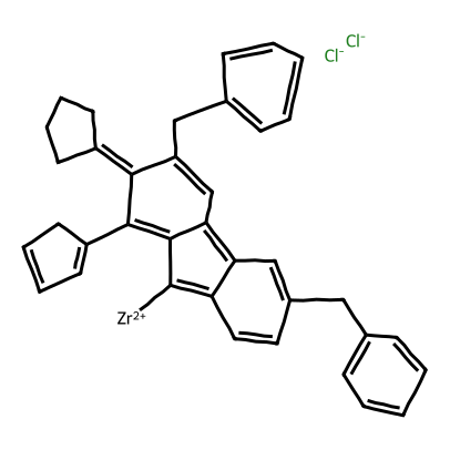 [Cl-].[Cl-].[Zr+2][C]1=c2ccc(Cc3ccccc3)cc2=c2cc(Cc3ccccc3)c(=C3CCCC3)c(C3=CC=CC3)c21